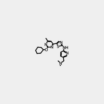 Cc1cc(-c2cnc(Nc3ccc(CN(C)C)cn3)s2)nc(OC2CCCCC2)n1